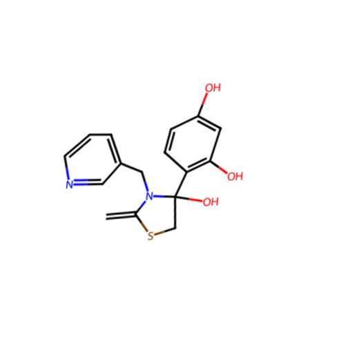 C=C1SCC(O)(c2ccc(O)cc2O)N1Cc1cccnc1